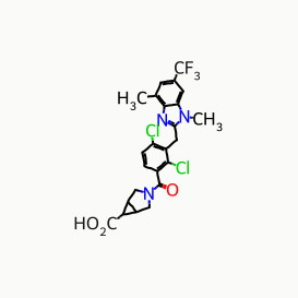 Cc1cc(C(F)(F)F)cc2c1nc(Cc1c(Cl)ccc(C(=O)N3CC4C(C3)C4C(=O)O)c1Cl)n2C